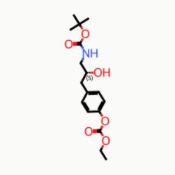 CCOC(=O)Oc1ccc(C[C@H](O)CNC(=O)OC(C)(C)C)cc1